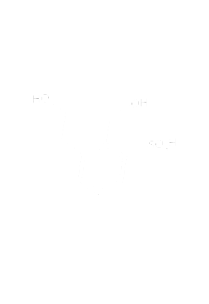 O=S(=O)(O)c1cccc(CCO)c1CO